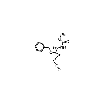 CC(C)(C)OC(=O)NNC1(OCc2ccccc2)CC1N=C=O